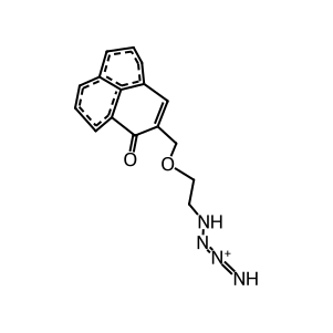 N=[N+]=NNCCOCC1=Cc2cccc3cccc(c23)C1=O